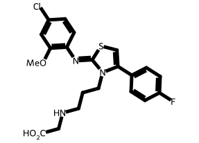 COc1cc(Cl)ccc1N=c1scc(-c2ccc(F)cc2)n1CCCNCC(=O)O